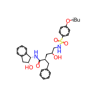 CCC(C)Oc1ccc(S(=O)(=O)NC[C@@H](O)C[C@@H](Cc2ccccc2)C(=O)N[C@H]2c3ccccc3C[C@H]2O)cc1